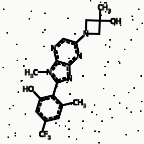 Cc1cc(C(F)(F)F)cc(O)c1-c1nc2nc(N3CC(C)(O)C3)cnc2n1C